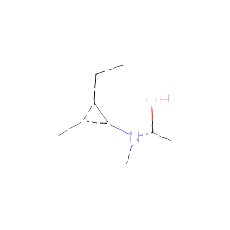 CCC1C(C)C1N(C)C(C)O